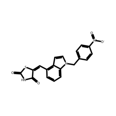 O=C1NC(=O)C(=Cc2cccc3c2ccn3Cc2ccc([N+](=O)[O-])cc2)S1